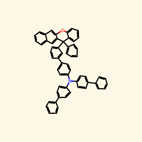 c1ccc(-c2ccc(N(c3ccc(-c4ccccc4)cc3)c3ccc(-c4cccc(C5(c6ccccc6)c6ccccc6Oc6cc7ccccc7cc65)c4)cc3)cc2)cc1